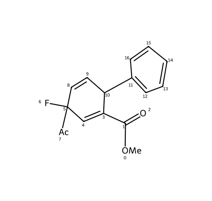 COC(=O)C1=CC(F)(C(C)=O)C=CC1c1ccccc1